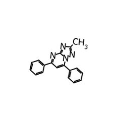 Cc1nc2nc(-c3ccccc3)cc(-c3ccccc3)n2n1